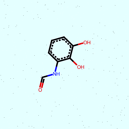 O=[C]Nc1cccc(O)c1O